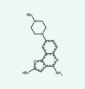 CCCCc1cc2c(N)nc3ccc(N4CCN(C(C)(C)C)CC4)cc3c2o1